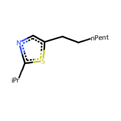 CCCCCCCc1cnc(C(C)C)s1